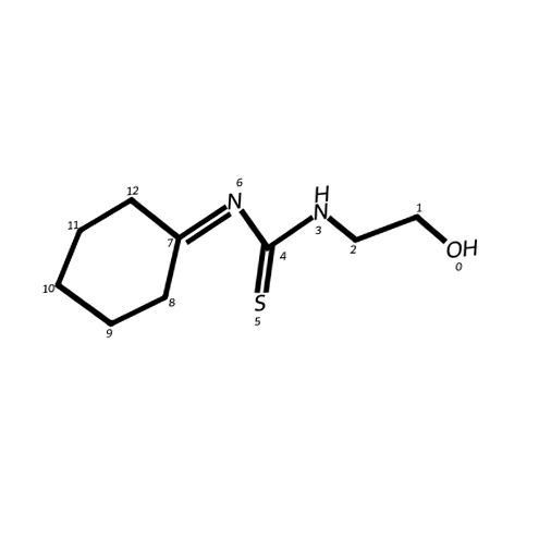 OCCNC(=S)N=C1CCCCC1